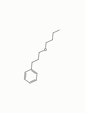 [CH2]CCCOCCCc1ccccc1